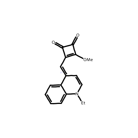 CCN1C=C/C(=C\c2c(OC)c(=O)c2=O)c2ccccc21